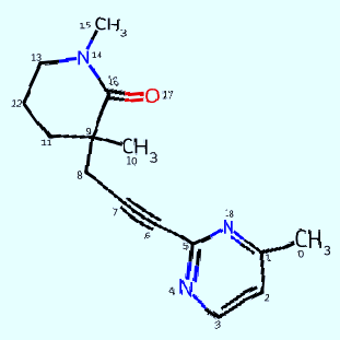 Cc1ccnc(C#CCC2(C)CCCN(C)C2=O)n1